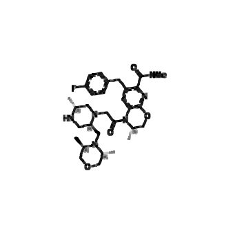 CNC(=O)c1nc2c(cc1Cc1ccc(F)cc1)N(C(=O)CN1C[C@@H](C)NC[C@@H]1CN1[C@H](C)COC[C@H]1C)[C@@H](C)CO2